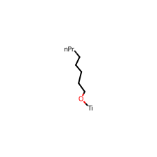 CCCCCCCC[O][Ti]